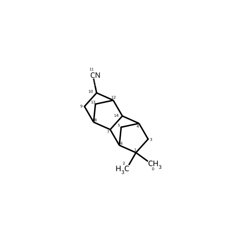 CC1(C)CC2CC1C1C3CC(C#N)C(C3)C21